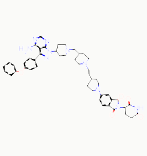 Nc1ncnc2c1c(-c1ccc(Oc3ccccc3)cc1)nn2C1CCN(CC2CCN(CCC3CCN(c4ccc5c(c4)C(=O)N(C4CCC(=O)NC4=O)C5=O)CC3)CC2)CC1